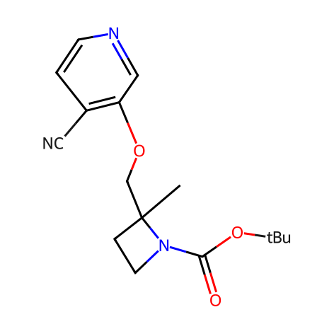 CC(C)(C)OC(=O)N1CCC1(C)COc1cnccc1C#N